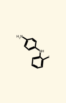 Nc1ccc(Nc2ccccc2I)cc1